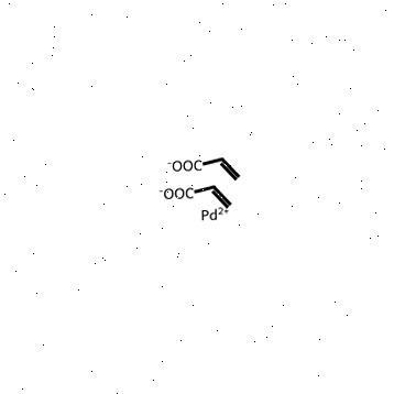 C=CC(=O)[O-].C=CC(=O)[O-].[Pd+2]